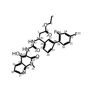 CCOC(=O)C[C@H](NC(=O)Nc1c(O)c2cccnc2n(C)c1=O)c1cccc(-c2ccc(F)cc2F)c1